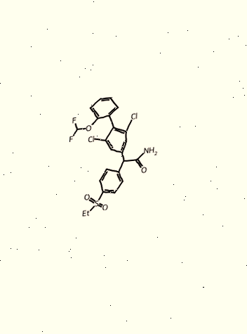 CCS(=O)(=O)c1ccc(C(C(N)=O)c2cc(Cl)c(-c3ccccc3OC(F)F)c(Cl)c2)cc1